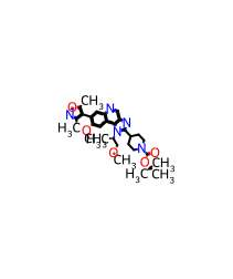 COC[C@@H](C)n1c(C2CCN(C(=O)OC(C)(C)C)CC2)nc2cnc3cc(-c4c(C)noc4C)c(OC)cc3c21